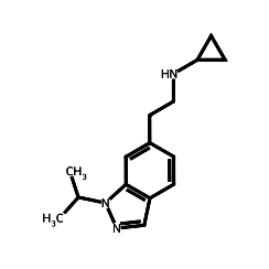 CC(C)n1ncc2ccc(CCNC3CC3)cc21